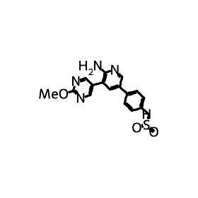 COc1ncc(-c2cc(-c3ccc(C[SH](=O)=O)cc3)cnc2N)cn1